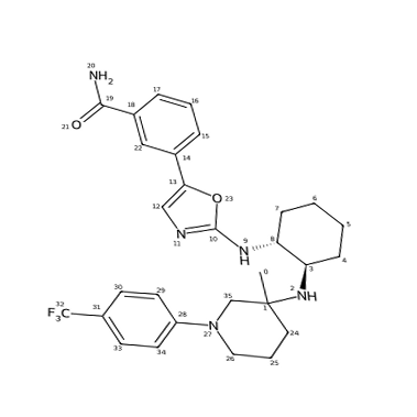 CC1(N[C@@H]2CCCC[C@H]2Nc2ncc(-c3cccc(C(N)=O)c3)o2)CCCN(c2ccc(C(F)(F)F)cc2)C1